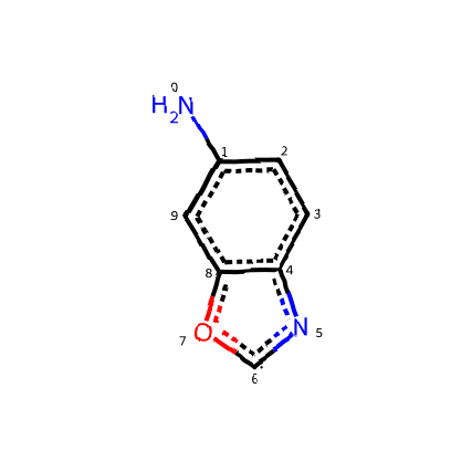 Nc1ccc2n[c]oc2c1